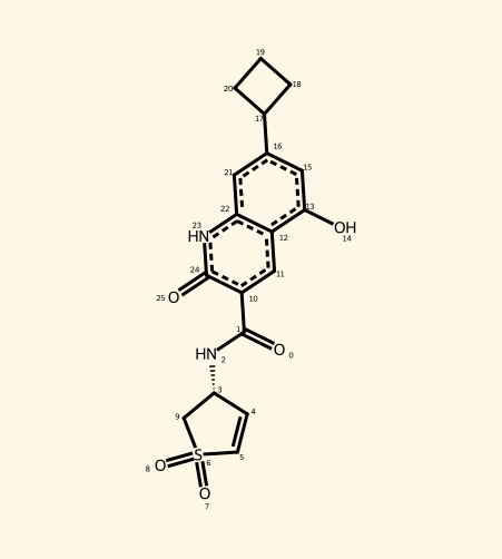 O=C(N[C@@H]1C=CS(=O)(=O)C1)c1cc2c(O)cc(C3CCC3)cc2[nH]c1=O